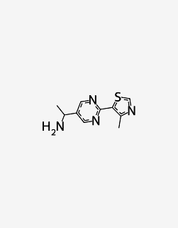 Cc1ncsc1-c1ncc(C(C)N)cn1